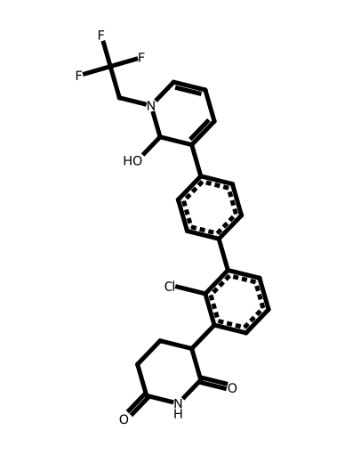 O=C1CCC(c2cccc(-c3ccc(C4=CC=CN(CC(F)(F)F)C4O)cc3)c2Cl)C(=O)N1